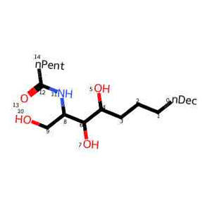 CCCCCCCCCCCCCC(O)C(O)C(CO)NC(=O)CCCCC